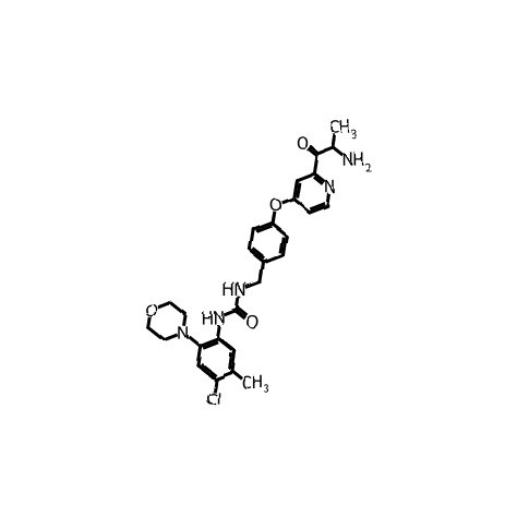 Cc1cc(NC(=O)NCc2ccc(Oc3ccnc(C(=O)C(C)N)c3)cc2)c(N2CCOCC2)cc1Cl